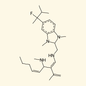 C=C(C)/C(=C/NCC1N(C)c2ccc(C(C)(F)C(C)C)cc2N1C)C(/C=C\CCC)NC